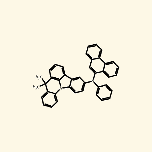 CC1(C)c2ccccc2-n2c3ccc(N(c4ccccc4)c4cc5ccccc5c5ccccc45)cc3c3cccc1c32